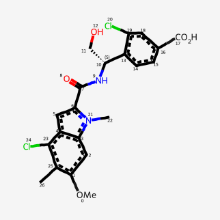 COc1cc2c(cc(C(=O)N[C@H](CO)c3ccc(C(=O)O)cc3Cl)n2C)c(Cl)c1C